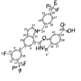 C[C@H](NC(=O)c1cc(-c2cc(F)cc(C(F)(F)F)c2)cc2ccn(Cc3ccc(C(F)(F)F)cc3)c12)c1ccc(C(=O)O)cc1